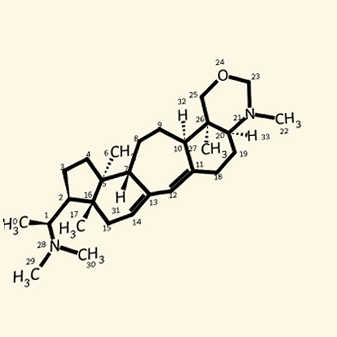 C[C@@H]([C@H]1CC[C@@]2(C)[C@@H]3CC[C@@H]4C(=CC3=CC[C@]12C)CC[C@@H]1N(C)COC[C@]41C)N(C)C